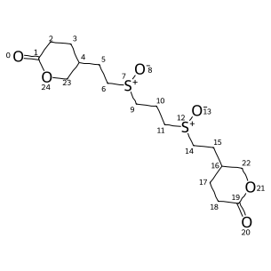 O=C1CCC(CC[S+]([O-])CCC[S+]([O-])CCC2CCC(=O)OC2)CO1